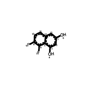 Oc1cc(O)c2c(F)c(F)ccc2c1